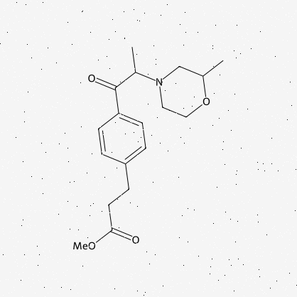 COC(=O)CCc1ccc(C(=O)C(C)N2CCOC(C)C2)cc1